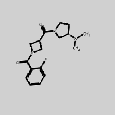 CN(C)[C@@H]1CCN(C(=O)C2CN(C(=O)c3ccccc3F)C2)C1